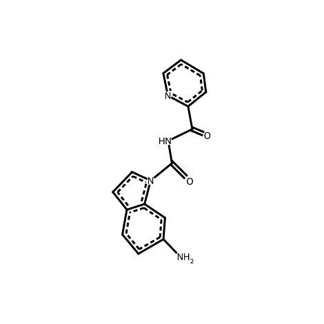 Nc1ccc2ccn(C(=O)NC(=O)c3ccccn3)c2c1